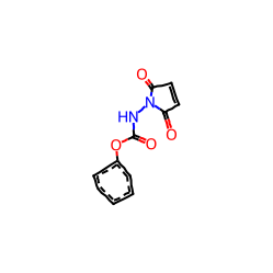 O=C(NN1C(=O)C=CC1=O)Oc1ccccc1